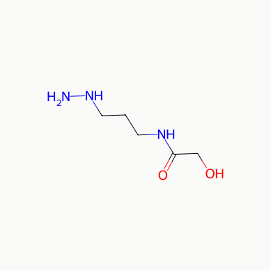 NNCCCNC(=O)CO